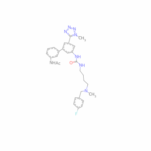 CC(=O)Nc1cccc(-c2cc(NC(=O)NCCCCN(C)Cc3ccc(F)cc3)cc(-c3nnnn3C)c2)c1